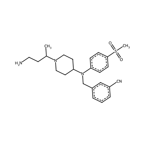 CC(CCN)N1CCC(N(Cc2cccc(C#N)c2)c2ccc(S(C)(=O)=O)cc2)CC1